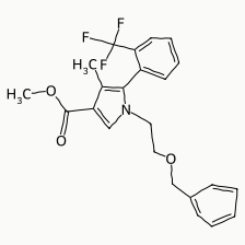 COC(=O)c1cn(CCOCc2ccccc2)c(-c2ccccc2C(F)(F)F)c1C